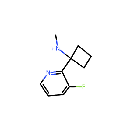 CNC1(c2ncccc2F)CCC1